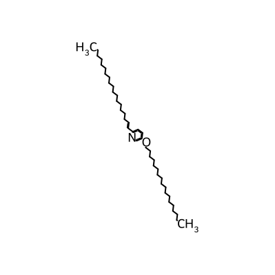 CCCCCCCCCCCCCCCCCC=Cc1ccc(OCCCCCCCCCCCCCCCCCC)cn1